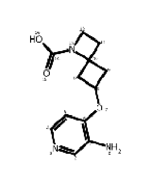 Nc1cnccc1OC1CC2(CCN2C(=O)O)C1